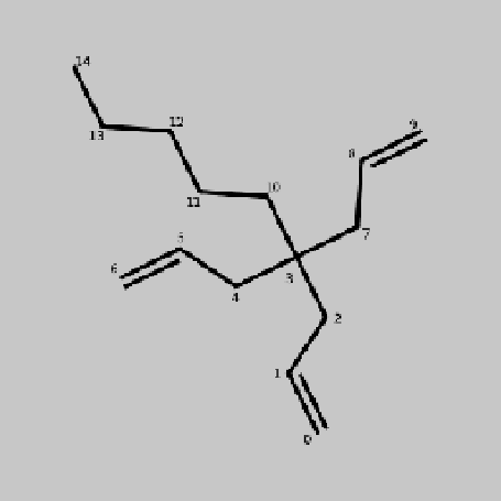 C=CCC(CC=C)(CC=C)CCCCC